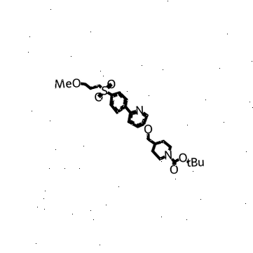 COCCCS(=O)(=O)c1ccc(-c2ccc(OCC3CCN(C(=O)OC(C)(C)C)CC3)cn2)cc1